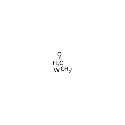 C=O.[CH2].[W]